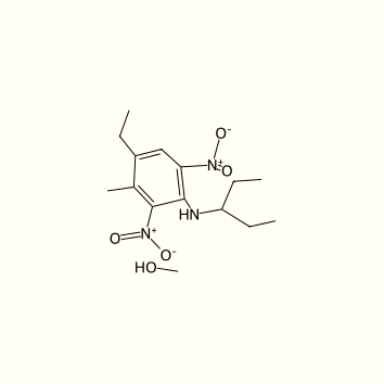 CCc1cc([N+](=O)[O-])c(NC(CC)CC)c([N+](=O)[O-])c1C.CO